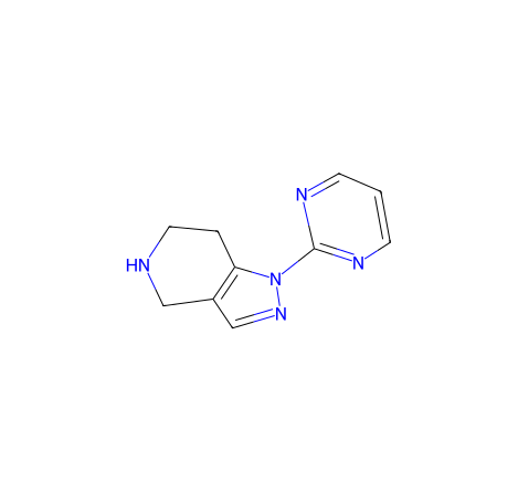 c1cnc(-n2ncc3c2CCNC3)nc1